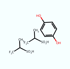 CC(C(F)(F)F)S(=O)(=O)O.CC(C(F)(F)F)S(=O)(=O)O.Oc1ccc(O)cc1